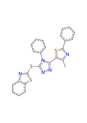 Cc1nc(-c2ccccc2)sc1-c1nnc(Sc2nc3ccccc3s2)n1-c1ccccc1